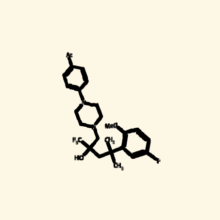 COc1ccc(F)cc1C(C)(C)CC(O)(CN1CCN(c2ccc(C(C)=O)cc2)CC1)C(F)(F)F